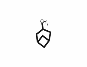 [CH2]C1CC2CC(C1)C2